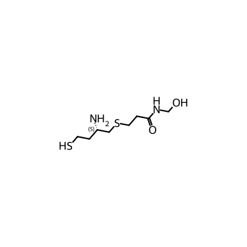 N[C@@H](CCS)CSCCC(=O)NCO